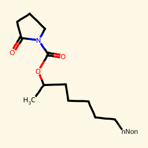 CCCCCCCCCCCCCCC(C)OC(=O)N1CCCC1=O